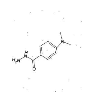 CN(C)c1ccc(C(=O)NN)cc1